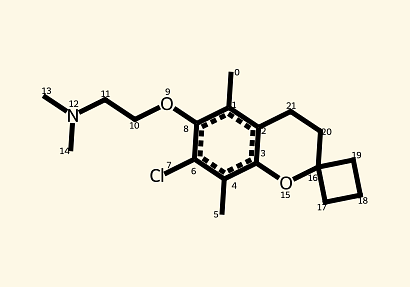 Cc1c2c(c(C)c(Cl)c1OCCN(C)C)OC1(CCC1)CC2